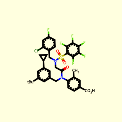 Cc1cc(C(=O)O)ccc1N(Cc1cc(C2CC2)cc(C(C)(C)C)c1)C(=O)CN(Cc1ccc(F)cc1Cl)S(=O)(=O)c1c(F)c(F)c(F)c(F)c1F